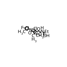 CC[C@@H](CO)NC(=O)C(=O)c1c(Cl)c(C(=O)Nc2ccc(F)c(C)c2)c(C)n1C